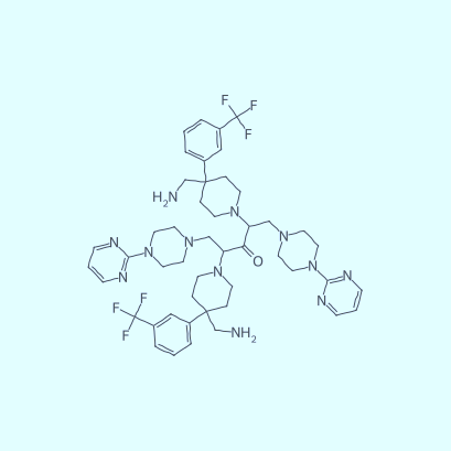 NCC1(c2cccc(C(F)(F)F)c2)CCN(C(CN2CCN(c3ncccn3)CC2)C(=O)C(CN2CCN(c3ncccn3)CC2)N2CCC(CN)(c3cccc(C(F)(F)F)c3)CC2)CC1